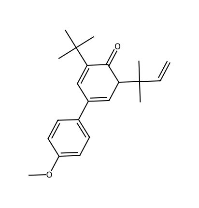 C=CC(C)(C)C1C=C(c2ccc(OC)cc2)C=C(C(C)(C)C)C1=O